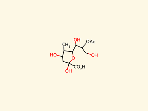 CC(=O)OC(CO)C(O)C1OC(O)(C(=O)O)CC(O)C1C